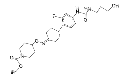 CC(C)OC(=O)N1CCC(ON=C2CCC(c3ccc(NC(=O)NCCCO)cc3F)CC2)CC1